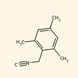 [C-]#[N+]Cc1c(C)cc(C)cc1C